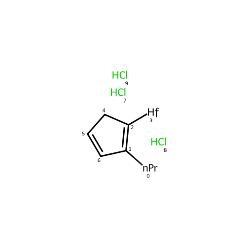 CCCC1=[C]([Hf])CC=C1.Cl.Cl.Cl